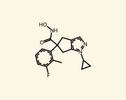 Cc1c(F)cccc1C1(C(=O)NO)Cc2cnn(C3CC3)c2C1